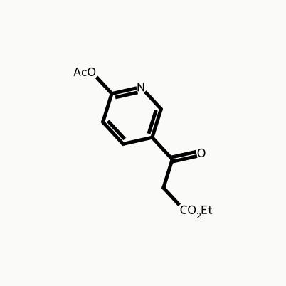 CCOC(=O)CC(=O)c1ccc(OC(C)=O)nc1